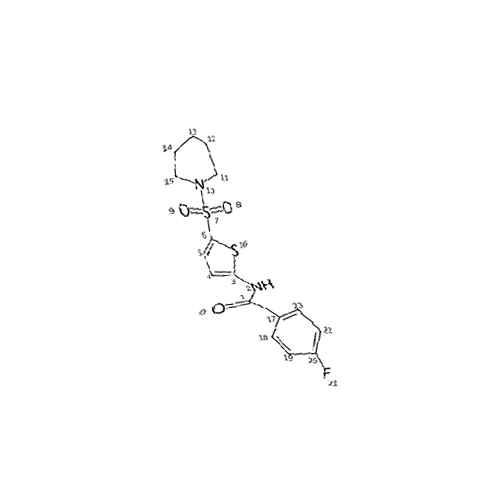 O=C(Nc1ccc(S(=O)(=O)N2CCCCC2)s1)c1ccc(F)cc1